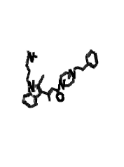 C/C(=C\C(=O)N1CCN(CCc2ccccc2)CC1)c1c(C)n(CCCN(C)C)c2ccccc12